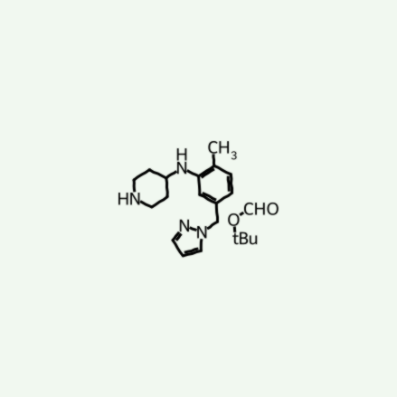 CC(C)(C)OC=O.Cc1ccc(Cn2cccn2)cc1NC1CCNCC1